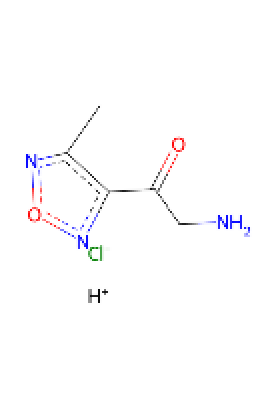 Cc1nonc1C(=O)CN.[Cl-].[H+]